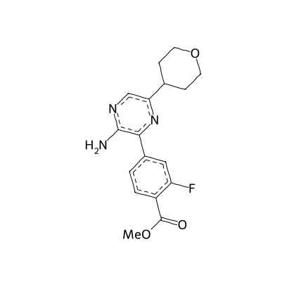 COC(=O)c1ccc(-c2nc(C3CCOCC3)cnc2N)cc1F